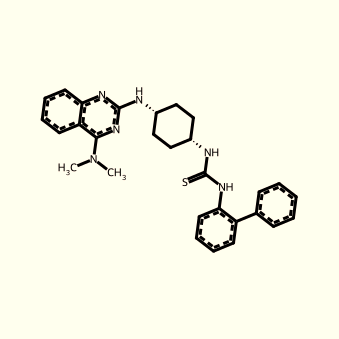 CN(C)c1nc(N[C@H]2CC[C@@H](NC(=S)Nc3ccccc3-c3ccccc3)CC2)nc2ccccc12